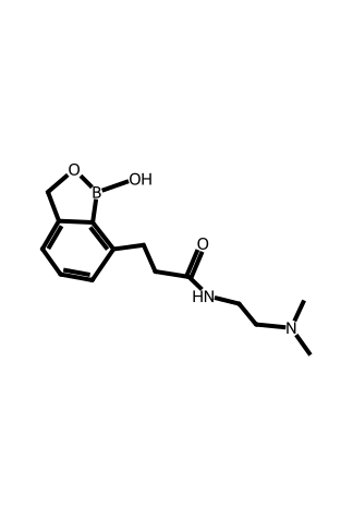 CN(C)CCNC(=O)CCc1cccc2c1B(O)OC2